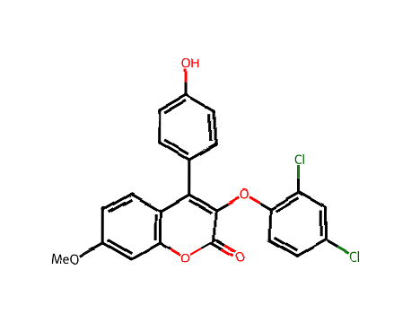 COc1ccc2c(-c3ccc(O)cc3)c(Oc3ccc(Cl)cc3Cl)c(=O)oc2c1